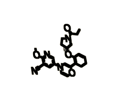 CCC(=O)N1CC[C@H](OC2=C(C3=CN(c4cnc(OC)c(C#N)c4)C=CO3)CCC=C2)C1